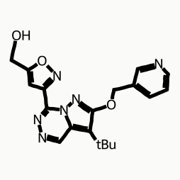 CC(C)(C)c1c(OCc2cccnc2)nn2c(-c3cc(CO)on3)nncc12